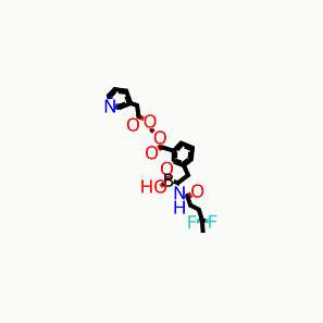 CC(F)(F)CCC(=O)N[C@H]1Cc2cccc(C(=O)OCOC(=O)Cc3cccnc3)c2OB1O